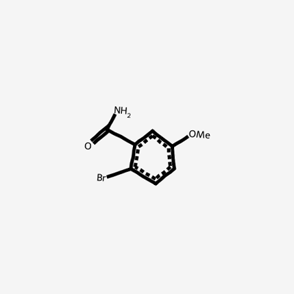 COc1ccc(Br)c(C(N)=O)c1